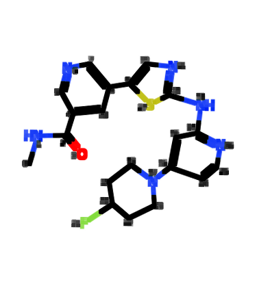 CNC(=O)c1cncc(-c2cnc(Nc3cc(N4CCC(F)CC4)ccn3)s2)c1